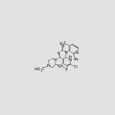 Cc1ccnc(C(C)C)c1N1C(=O)N=C(N2CCN(C(=O)O)C[C@@H]2C)C2=CC(F)=C(Cl)NC21